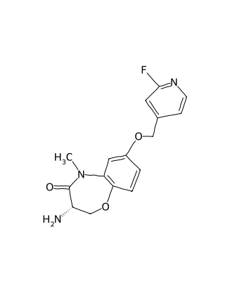 CN1C(=O)[C@@H](N)COc2ccc(OCc3ccnc(F)c3)cc21